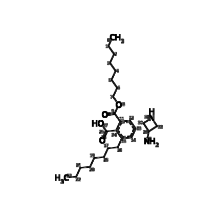 CCCCCCCCOC(=O)c1cccc(CCCCCCCC)c1C(=O)O.NC1CNC1